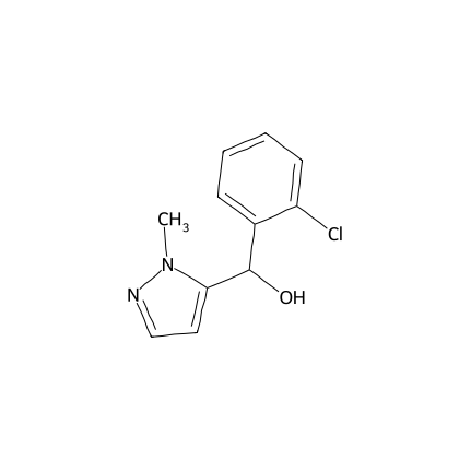 Cn1nccc1C(O)c1ccccc1Cl